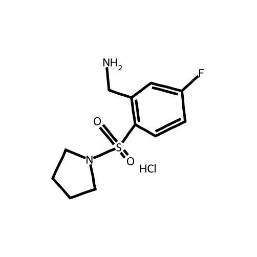 Cl.NCc1cc(F)ccc1S(=O)(=O)N1CCCC1